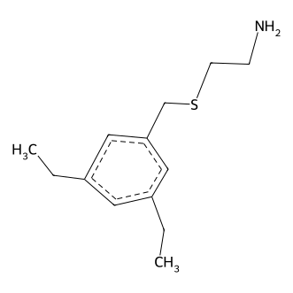 CCc1cc(CC)cc(CSCCN)c1